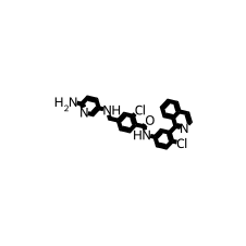 Nc1ccc(NCc2ccc(C(=O)Nc3ccc(Cl)c(-c4nccc5ccccc45)c3)c(Cl)c2)cn1